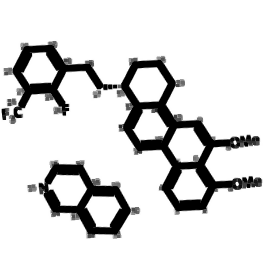 COc1cccc2c1c(OC)cc1c3c(ccc12)[C@H](CCc1cccc(C(F)(F)F)c1F)CCC3.c1ccc2cnccc2c1